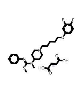 CSC(=Nc1ccccc1)N(C)C1CCN(CCCCCOc2ccc(F)c(F)c2)CC1.O=C(O)/C=C/C(=O)O